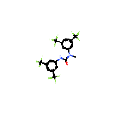 CN(C(=O)Nc1cc(C(F)(F)F)cc(C(F)(F)F)c1)c1cc(C(F)(F)F)cc(C(F)(F)F)c1